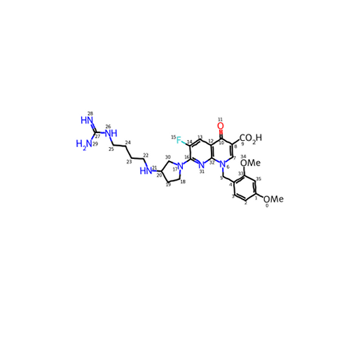 COc1ccc(Cn2cc(C(=O)O)c(=O)c3cc(F)c(N4CCC(NCCCCNC(=N)N)C4)nc32)c(OC)c1